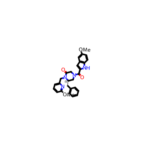 COc1ccc2[nH]c(C(=O)N3CC(=O)N(Cc4cccc(OC)n4)[C@@H](Cc4ccccc4)C3)cc2c1